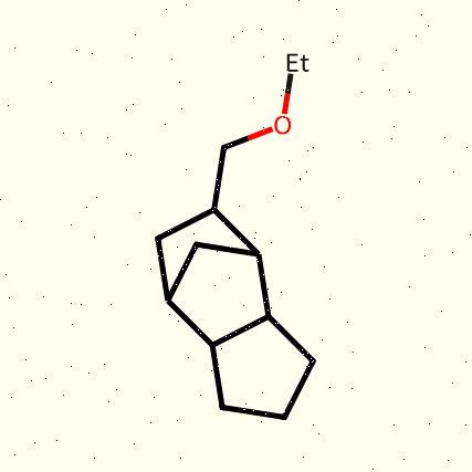 CCOCC1CC2CC1C1CCCC21